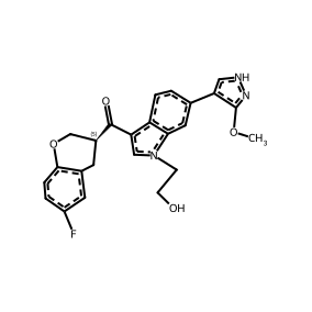 COc1n[nH]cc1-c1ccc2c(C(=O)[C@@H]3COc4ccc(F)cc4C3)cn(CCO)c2c1